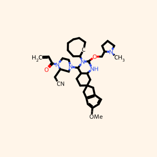 C=CC(=O)N1CCN(C2C3CCC4(Cc5ccc(OC)cc5C4)CC3NC(OCC3CCCN3C)N2C2CCCCCCC2)CC1CC#N